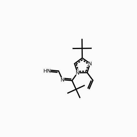 C=Cc1nc(C(C)(C)C)cn1/C(=N\C=N)C(C)(C)C